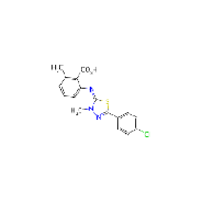 Cc1cccc(N=c2sc(-c3ccc(Cl)cc3)nn2C)c1C(=O)O